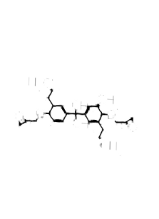 C=CCC1=CC(C(C)(C)C2=CC(CC=C)C(OCC3CO3)C=C2)=CC(=C)C1OCC1CO1